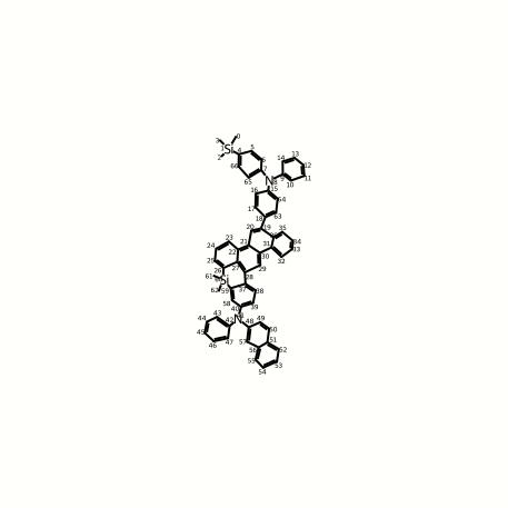 C[Si](C)(C)c1ccc(N(c2ccccc2)c2ccc(-c3cc4c5cccc6c5c(cc4c4ccccc34)-c3ccc(N(c4ccccc4)c4ccc5ccccc5c4)cc3[Si]6(C)C)cc2)cc1